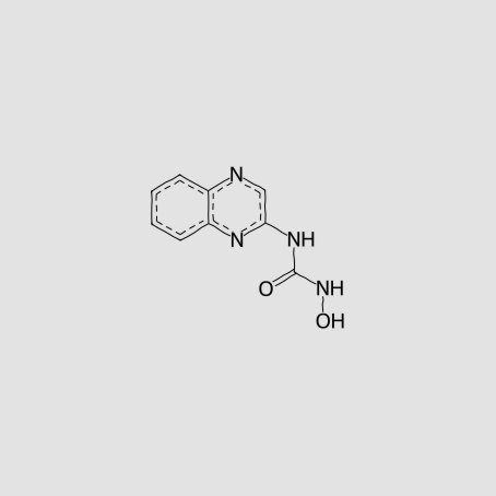 O=C(NO)Nc1cnc2ccccc2n1